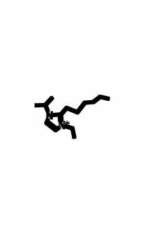 CCCCCCc1n(C(C)C)cc[n+]1CC